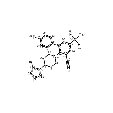 Cn1cnnc1C1CCN(c2c(C#N)cc(C(F)(F)F)cc2-c2ccc(F)nc2)CC1